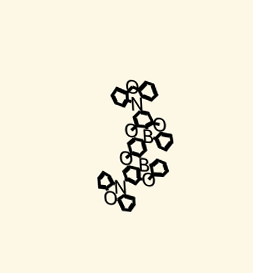 c1ccc2c(c1)Oc1cc(N3c4ccccc4Oc4ccccc43)cc3c1B2c1cc2c(cc1O3)Oc1cc(N3c4ccccc4Oc4ccccc43)cc3c1B2c1ccccc1O3